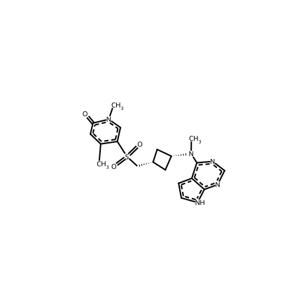 Cc1cc(=O)n(C)cc1S(=O)(=O)C[C@H]1C[C@@H](N(C)c2ncnc3[nH]ccc23)C1